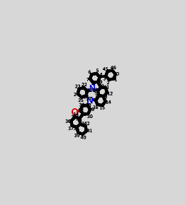 c1ccc(-c2cccc3c2c2ccc4cccc5c4c2n3c2ccccc2n5-c2ccc3c(c2)oc2ccc4ccccc4c23)cc1